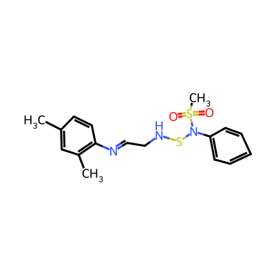 Cc1ccc(N=CCNSN(c2ccccc2)S(C)(=O)=O)c(C)c1